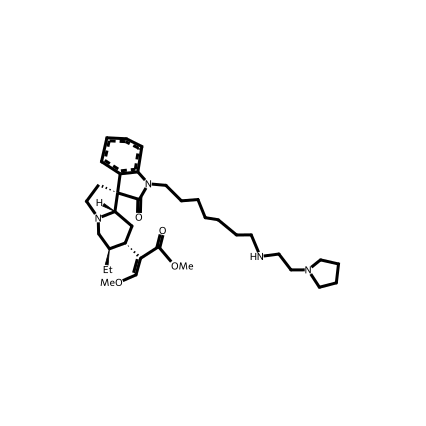 CC[C@H]1CN2CC[C@]3(C(=O)N(CCCCCCCNCCN4CCCC4)c4ccccc43)[C@@H]2C[C@@H]1/C(=C\OC)C(=O)OC